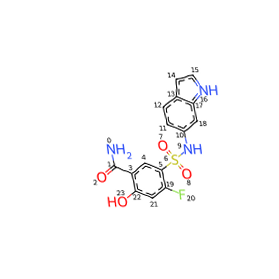 NC(=O)c1cc(S(=O)(=O)Nc2ccc3cc[nH]c3c2)c(F)cc1O